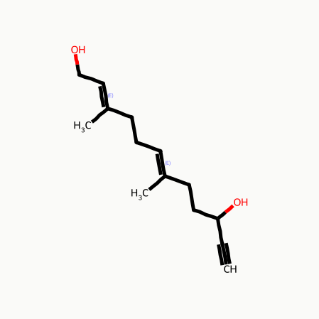 C#CC(O)CC/C(C)=C/CC/C(C)=C/CO